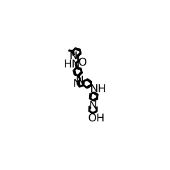 Cc1cccc(C(=O)Nc2ccc(-n3ncc4cc(Nc5ccc(N6CCC(O)CC6)cc5)ccc43)cc2)n1